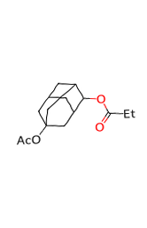 CCC(=O)OC1C2CC3CC1CC(OC(C)=O)(C3)C2